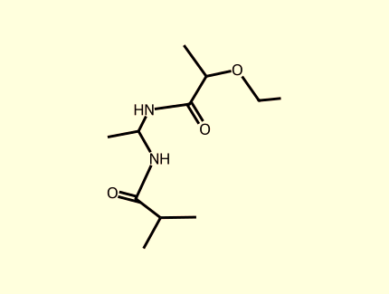 CCOC(C)C(=O)NC(C)NC(=O)C(C)C